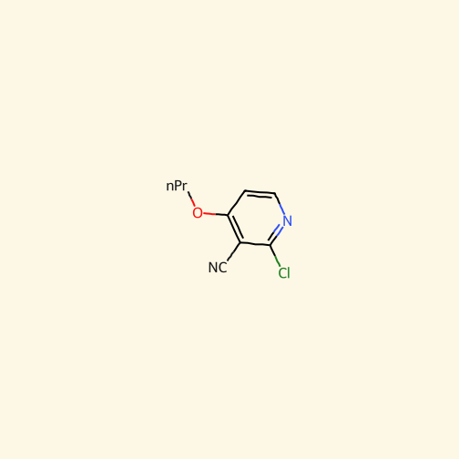 CCCOc1ccnc(Cl)c1C#N